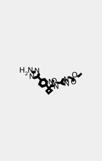 CCOC(=O)Cn1cc(-c2nc(C3(c4ccc(-c5cnc(N)nc5)cc4)CCC3)no2)cn1